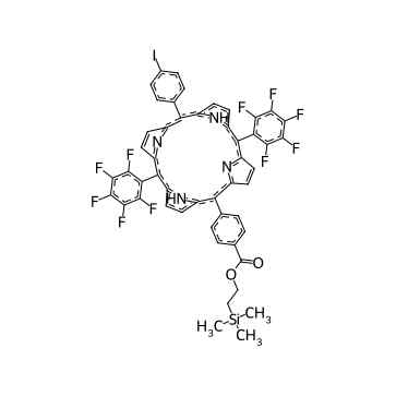 C[Si](C)(C)CCOC(=O)c1ccc(-c2c3nc(c(-c4c(F)c(F)c(F)c(F)c4F)c4ccc([nH]4)c(-c4ccc(I)cc4)c4nc(c(-c5c(F)c(F)c(F)c(F)c5F)c5ccc2[nH]5)C=C4)C=C3)cc1